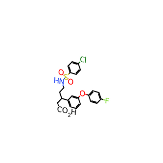 O=C(O)CC(CCNS(=O)(=O)c1ccc(Cl)cc1)c1cccc(Oc2ccc(F)cc2)c1